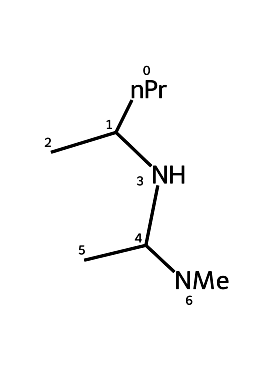 CCCC(C)NC(C)NC